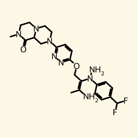 C/C(N)=C(\COc1ccc(N2CCN3CCN(C)C(=O)C3C2)nn1)N(N)c1ccc(C(F)F)cc1